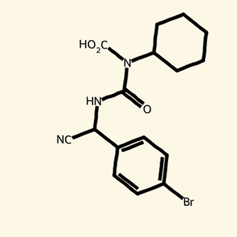 N#CC(NC(=O)N(C(=O)O)C1CCCCC1)c1ccc(Br)cc1